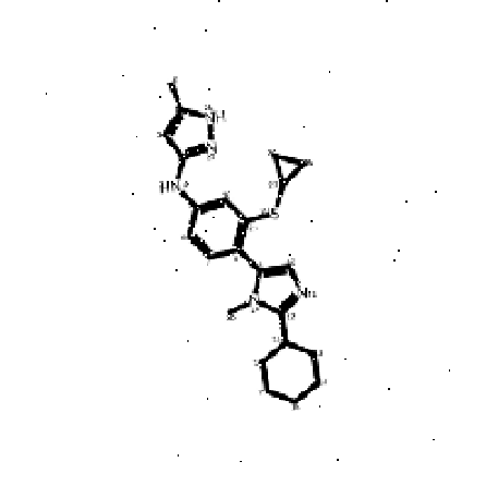 Cc1cc(Nc2ccc(-c3cnc(C4CCCCC4)n3C)c(SC3CC3)c2)n[nH]1